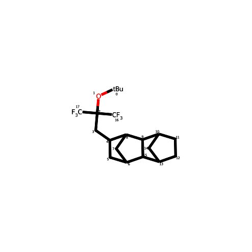 CC(C)(C)OC(CC1CC2CC1C1C3CCC(C3)C21)(C(F)(F)F)C(F)(F)F